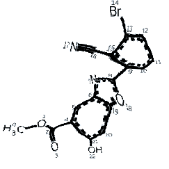 COC(=O)c1cc2nc(-c3cccc(Br)c3C#N)oc2cc1O